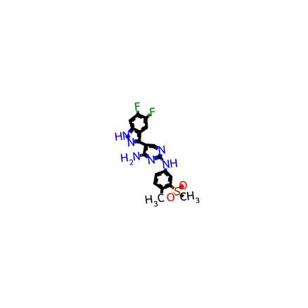 Cc1ccc(Nc2ncc(-c3n[nH]c4cc(F)c(F)cc34)c(N)n2)cc1S(C)(=O)=O